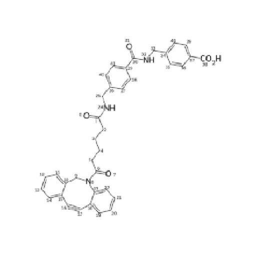 O=C(CCCCC(=O)N1Cc2ccccc2C#Cc2ccccc21)NCc1ccc(C(=O)NCc2ccc(C(=O)O)cc2)cc1